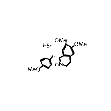 Br.COc1ccc(C[C@H]2NCCc3cc(OC)c(OC)cc32)cc1